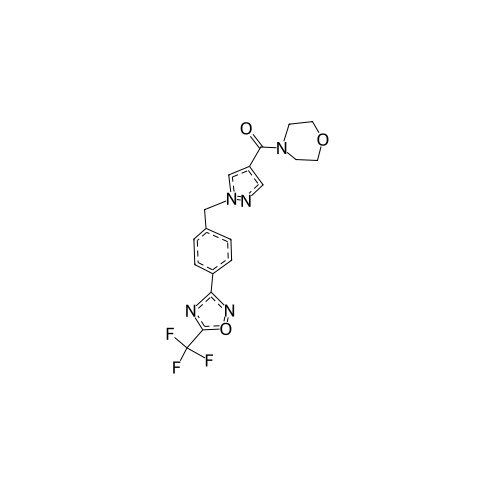 O=C(c1cnn(Cc2ccc(-c3noc(C(F)(F)F)n3)cc2)c1)N1CCOCC1